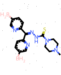 Bc1ccc(C(=NNC(=S)N2CCN(C)CC2)c2ccc(B)cn2)nc1